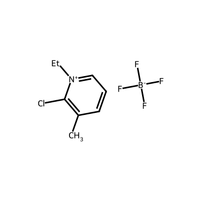 CC[n+]1cccc(C)c1Cl.F[B-](F)(F)F